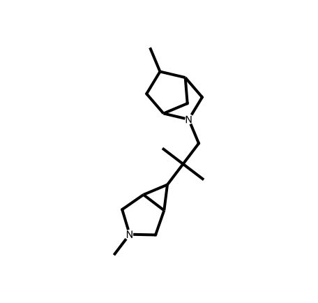 CC1CC2CC1CN2CC(C)(C)C1C2CN(C)CC21